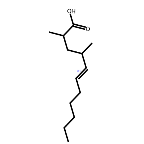 CCCCC/C=C/C(C)CC(C)C(=O)O